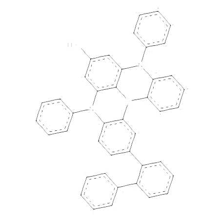 Cc1cc2c3c(c1)N(c1ccccc1)c1ccc(-c4ccccc4-c4ccccc4)cc1B3c1ccccc1N2c1ccccc1